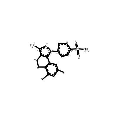 Cc1cc(C)c2c(c1)-c1c(c(C(F)(F)F)nn1-c1ccc(S(N)(=O)=O)cc1)CC2